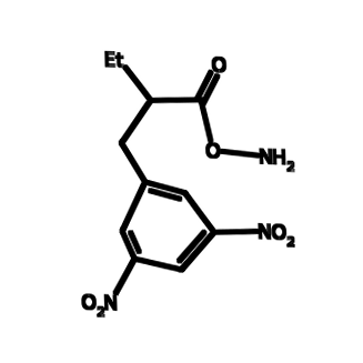 CCC(Cc1cc([N+](=O)[O-])cc([N+](=O)[O-])c1)C(=O)ON